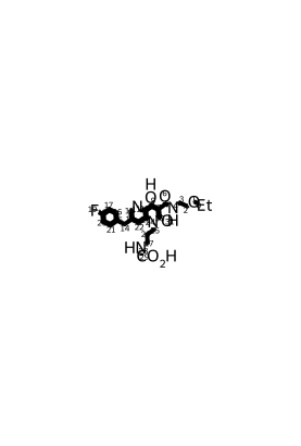 CCOCCNC(=O)c1c(O)c2ncc(Cc3ccc(F)cc3)cc2n(CCCNC(=O)O)c1=O